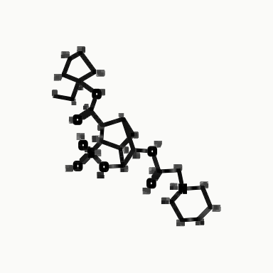 CCC1(OC(=O)C2C3CC4C(OS(=O)(=O)C42)C3OC(=O)CN2CCCCC2)CCCC1